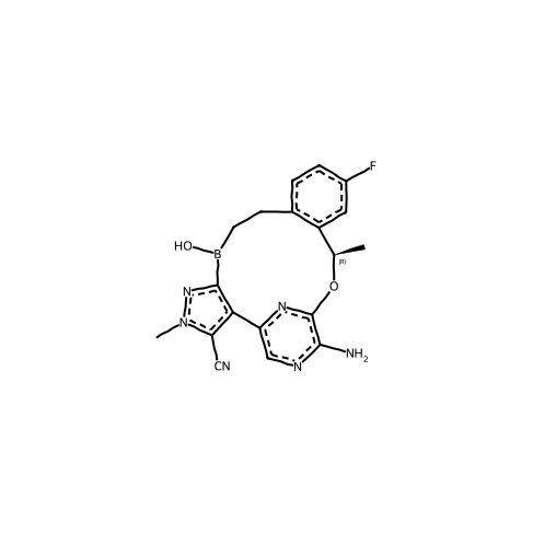 C[C@H]1Oc2nc(cnc2N)-c2c(nn(C)c2C#N)B(O)CCc2ccc(F)cc21